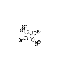 O=[N+]([O-])c1ccc(C(c2ccc(Br)cc2)C(c2ccc(Br)cc2)c2ccc([N+](=O)[O-])cc2)cc1